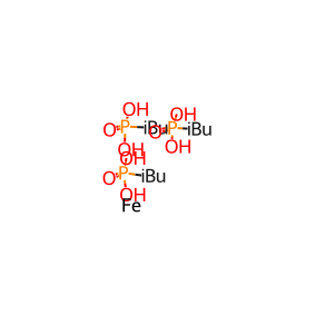 CCC(C)P(=O)(O)O.CCC(C)P(=O)(O)O.CCC(C)P(=O)(O)O.[Fe]